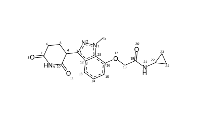 Cn1nc(C2CCC(=O)NC2=O)c2cccc(OCC(=O)NC3CC3)c21